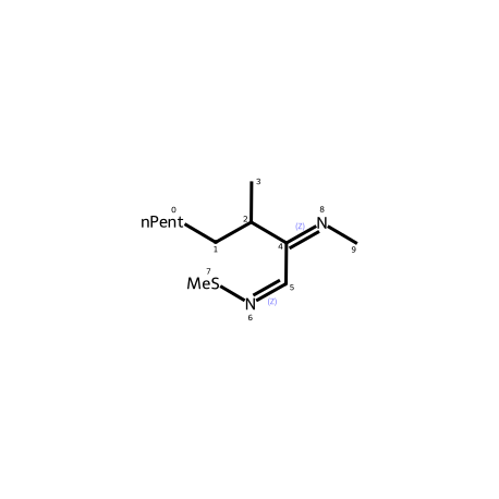 CCCCCCC(C)C(/C=N\SC)=N/C